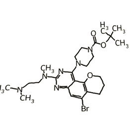 CN(C)CCN(C)c1nc(N2CCN(C(=O)OC(C)(C)C)CC2)c2c3c(c(Br)cc2n1)CCCO3